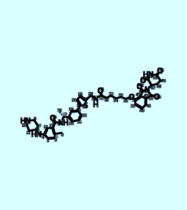 Cc1ccc(NC2CCNCC2)cc1C(=O)N[C@H](C)c1cccc(-c2ccc(CNC(=O)CCCCCOc3cccc4c3C(=O)N(C3CCC(=O)NC3=O)C4=O)s2)c1